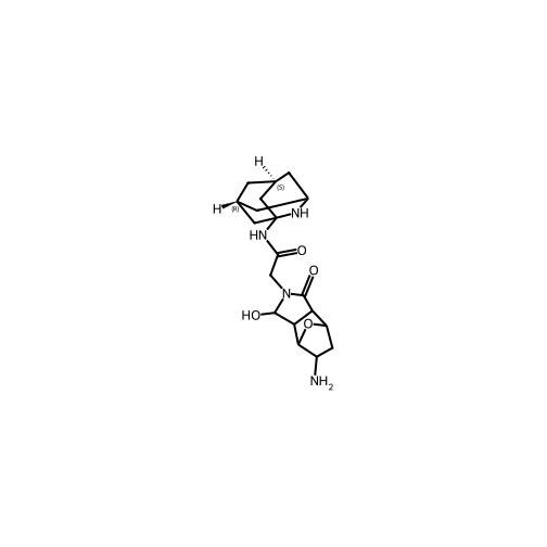 NC1CC2OC1C1C2C(=O)N(CC(=O)NC23C[C@@H]4CC(C[C@@H](C4)C2)N3)C1O